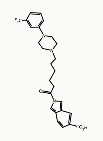 O=C(O)c1ccc2cn(C(=O)CCCCCN3CCN(c4cccc(C(F)(F)F)c4)CC3)cc2c1